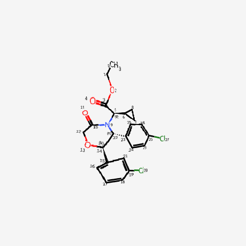 CCOC(=O)[C@@H](C1CC1)N1C(=O)CO[C@H](c2cccc(Cl)c2)[C@H]1c1ccc(Cl)cc1